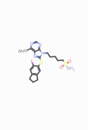 CNc1ncnc2c1nc(Sc1cc3c(cc1I)CCC3)n2CCCCCS(N)(=O)=O